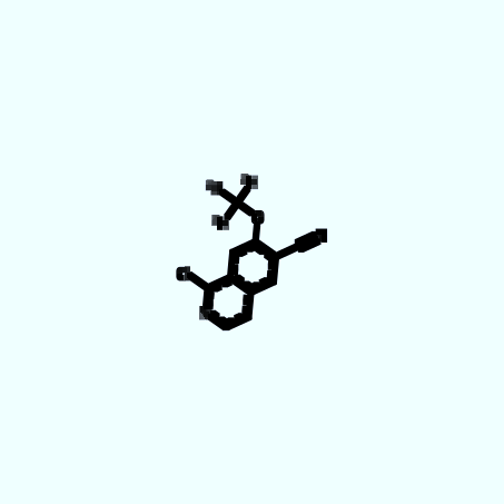 [2H]C([2H])([2H])Oc1cc2c(Cl)nccc2cc1C#N